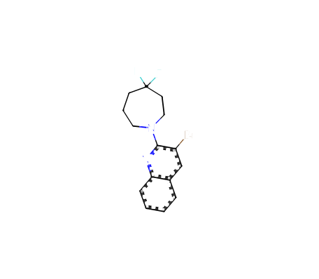 FC1(F)CCCN(c2nc3ccccc3cc2Br)CC1